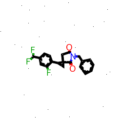 O=C1CC2(CC2c2ccc(C(F)F)cc2F)C(=O)N1Cc1ccccc1